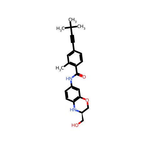 Cc1cc(C#CC(C)(C)C)ccc1C(=O)Nc1ccc2c(c1)OC[C@@H](CO)N2